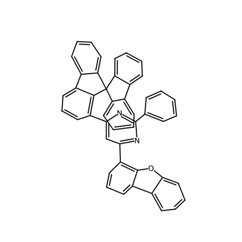 c1ccc(-c2nc(-c3cccc4c3C3(c5ccccc5-c5ccccc53)c3ccccc3-4)cc(-c3cccc4c3oc3ccccc34)n2)cc1